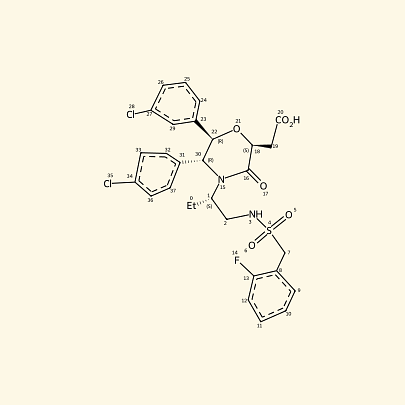 CC[C@@H](CNS(=O)(=O)Cc1ccccc1F)N1C(=O)[C@H](CC(=O)O)O[C@H](c2cccc(Cl)c2)[C@H]1c1ccc(Cl)cc1